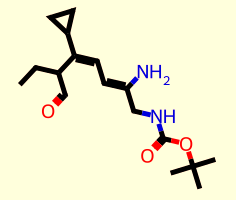 CCC(C=O)/C(=C\C=C(/N)CNC(=O)OC(C)(C)C)C1CC1